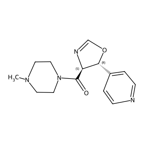 CN1CCN(C(=O)[C@H]2N=CO[C@@H]2c2ccncc2)CC1